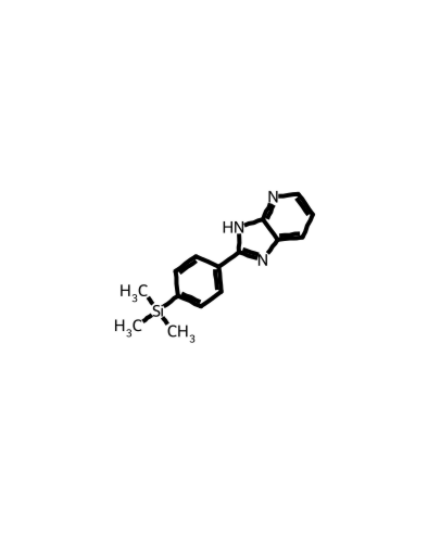 C[Si](C)(C)c1ccc(-c2nc3cccnc3[nH]2)cc1